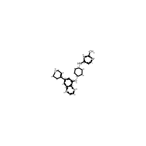 Cc1nccc(N[C@H]2CC[C@@H](Oc3cc(C4=CCOCC4)cc4nccnc34)CC2)n1